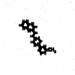 Cc1cccc(N2CCN(CCc3ccc4ccccc4n3)CC2)c1